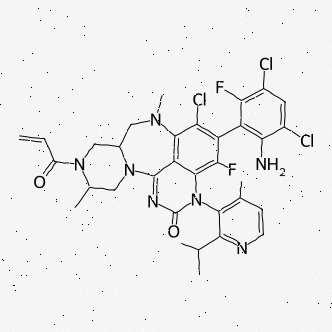 C=CC(=O)N1CC2CN(C)c3c(Cl)c(-c4c(N)c(Cl)cc(Cl)c4F)c(F)c4c3c(nc(=O)n4-c3c(C)ccnc3C(C)C)N2CC1C